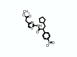 COC(=O)Cc1csc(NC(=O)C(CC2CCCC2)c2ccc([N+](=O)[O-])cc2)n1